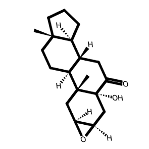 C[C@@]12CCC[C@H]1[C@@H]1CC(=O)[C@@]3(O)C[C@H]4O[C@H]4C[C@]3(C)[C@H]1CC2